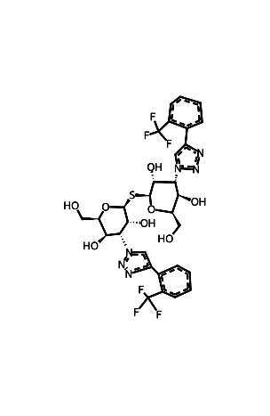 OC[C@H]1O[C@@H](S[C@@H]2O[C@H](CO)[C@H](O)[C@@H](n3cc(-c4ccccc4C(F)(F)F)nn3)[C@H]2O)[C@H](O)[C@H](n2cc(-c3ccccc3C(F)(F)F)nn2)[C@H]1O